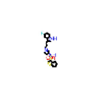 O=S(=O)(NC1CCN(CCCc2c[nH]c3ccc(F)cc23)C1)c1csc2ccccc12